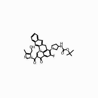 Cc1ncn(C(=O)c2cn3c4c(c(N5CCC(NC(=O)OC(C)(C)C)C5)c(F)cc4c2=O)Cc2cc4ccccc4cc2-3)c1CO